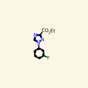 CCOC(=O)c1ncn(-c2cccc(F)c2)n1